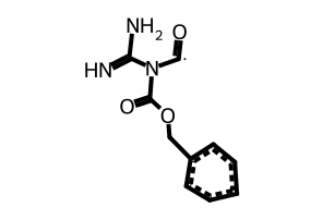 N=C(N)N([C]=O)C(=O)OCc1ccccc1